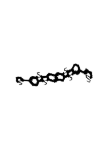 c1csc(-c2ccc3c(c2)sc2c4cc5cc6sc7c8ccc(-c9cccs9)cc8sc7c6cc5cc4sc32)c1